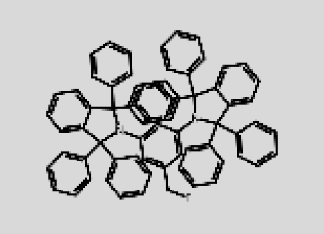 FCc1cc(N2C(c3ccccc3)(c3ccccc3)c3ccccc3C2(c2ccccc2)c2ccccc2)cc(N2C(c3ccccc3)(c3ccccc3)c3ccccc3C2(c2ccccc2)c2ccccc2)c1